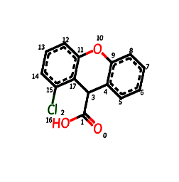 O=C(O)C1c2ccccc2Oc2cccc(Cl)c21